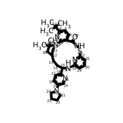 CC(C)(C)c1ccc2c(n1)N1CC(CCC(c3ccc(N4CCCC4)cn3)Nc3cccc(n3)SNC2=O)CC1(C)C